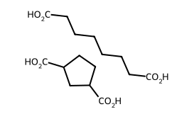 O=C(O)C1CCC(C(=O)O)C1.O=C(O)CCCCCCC(=O)O